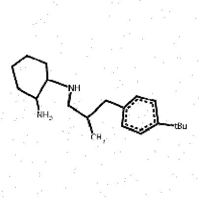 CC(CNC1CCCCC1N)Cc1ccc(C(C)(C)C)cc1